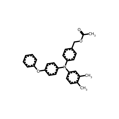 CC(=O)OCc1ccc(N(c2ccc(Oc3ccccc3)cc2)c2ccc(C)c(C)c2)cc1